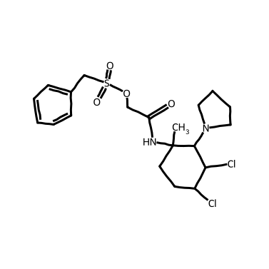 CC1(NC(=O)COS(=O)(=O)Cc2ccccc2)CCC(Cl)C(Cl)C1N1CCCC1